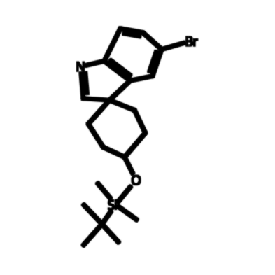 CC(C)(C)[Si](C)(C)OC1CCC2(C=Nc3ccc(Br)cc32)CC1